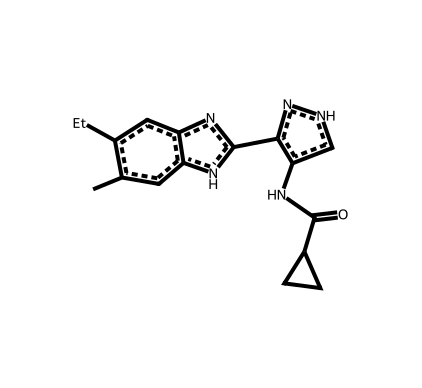 CCc1cc2nc(-c3n[nH]cc3NC(=O)C3CC3)[nH]c2cc1C